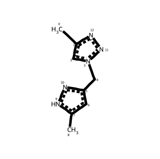 Cc1cn(Cc2cc(C)[nH]n2)nn1